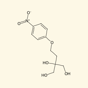 O=[N+]([O-])c1ccc(OCCC(O)(CO)CO)cc1